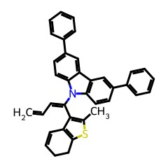 C=C/C=C(\c1c(C)sc2c1C=CCC2)n1c2ccc(-c3ccccc3)cc2c2cc(-c3ccccc3)ccc21